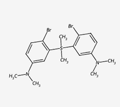 CN(C)c1ccc(Br)c(S(C)(C)c2cc(N(C)C)ccc2Br)c1